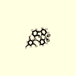 Cc1cc(C)c(B2c3cccc4c3-n3c5c2cccc5c2cccc(c23)S4(=O)=O)c(C)c1